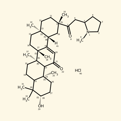 CN1CCCC1CC(=O)[C@@]1(C)CC[C@]2(C)CC[C@]3(C)C(=CC(=O)C4[C@@]5(C)CC[C@H](O)C(C)(C)C5CC[C@]43C)[C@H]2C1.Cl